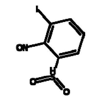 O=Nc1c(I)cccc1[SH](=O)=O